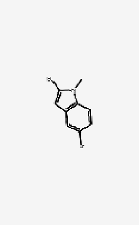 CCc1cc2cc(Br)ccc2n1C